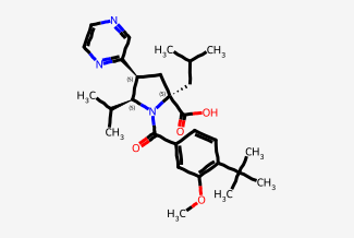 COc1cc(C(=O)N2[C@@H](C(C)C)[C@@H](c3cnccn3)C[C@@]2(CC(C)C)C(=O)O)ccc1C(C)(C)C